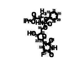 CC(C)OC(=O)[C@@H](C)NP(=O)(OC[C@H]1O[C@H](n2cc(F)c(=O)[nH]c2=O)C[C@@H]1O)Oc1ccccc1